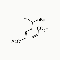 C=CC(=O)O.CCCCC(CC)CC=COC(C)=O